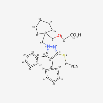 N#CCSc1nn(CC2(COCC(=O)O)CCCCC2)c(-c2ccccc2)c1-c1ccccc1